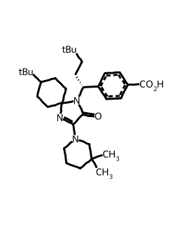 CC(C)(C)CC[C@H](c1ccc(C(=O)O)cc1)N1C(=O)C(N2CCCC(C)(C)C2)=NC12CCC(C(C)(C)C)CC2